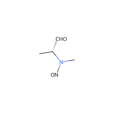 C[C@H](C=O)N(C)N=O